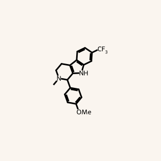 COc1ccc(C2c3[nH]c4cc(C(F)(F)F)ccc4c3CCN2C)cc1